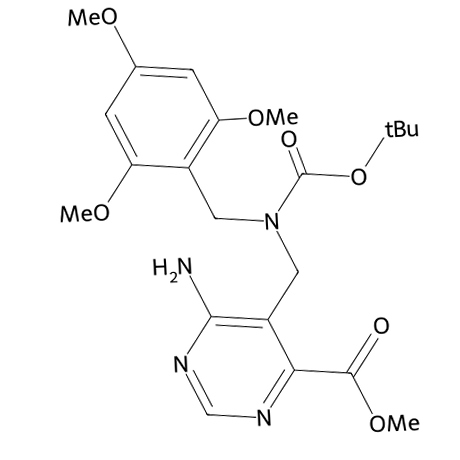 COC(=O)c1ncnc(N)c1CN(Cc1c(OC)cc(OC)cc1OC)C(=O)OC(C)(C)C